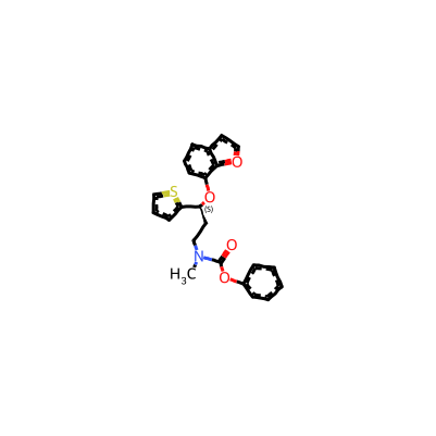 CN(CC[C@H](Oc1cccc2ccoc12)c1cccs1)C(=O)Oc1ccccc1